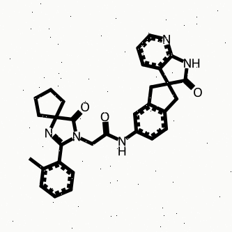 Cc1ccccc1C1=NC2(CCCC2)C(=O)N1CC(=O)Nc1ccc2c(c1)CC1(C2)C(=O)Nc2ncccc21